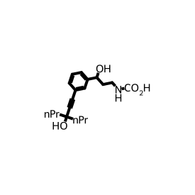 CCCC(O)(C#Cc1cccc(C(O)CCNC(=O)O)c1)CCC